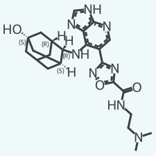 CN(C)CCNC(=O)c1nc(-c2cnc3[nH]cnc3c2N[C@H]2[C@@H]3CC4C[C@H]2C[C@@](O)(C4)C3)no1